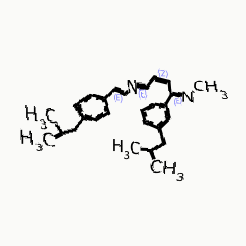 C\N=C(/C=C\C=N\C=C\c1ccc(CC(C)C)cc1)c1cccc(CC(C)C)c1